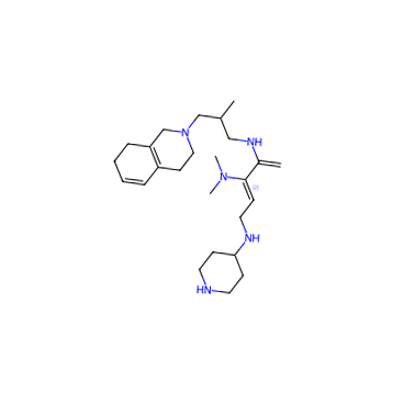 C=C(NCC(C)CN1CCC2=C(CCC=C2)C1)/C(=C/CNC1CCNCC1)N(C)C